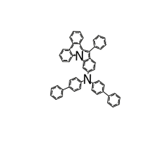 c1ccc(-c2ccc(N(c3ccc(-c4ccccc4)cc3)c3ccc4c(-c5ccccc5)c5c6ccccc6c6ccccc6n5c4c3)cc2)cc1